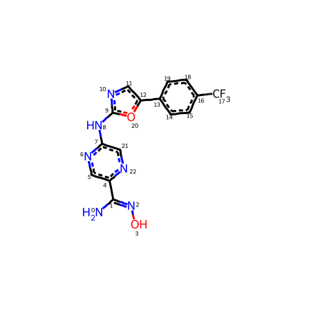 N/C(=N\O)c1cnc(Nc2ncc(-c3ccc(C(F)(F)F)cc3)o2)cn1